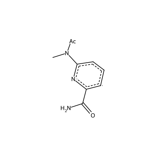 CC(=O)N(C)c1cc[c]c(C(N)=O)n1